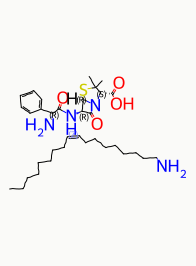 CC1(C)S[C@@H]2[C@H](NC(=O)[C@H](N)c3ccccc3)C(=O)N2[C@H]1C(=O)O.CCCCCCCC/C=C\CCCCCCCCN